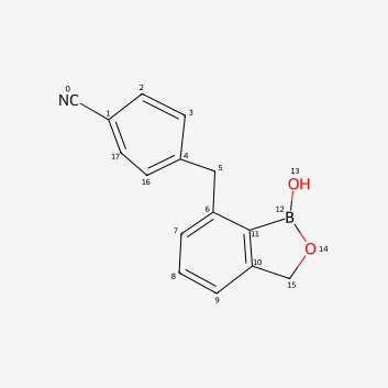 N#Cc1ccc(Cc2cccc3c2B(O)OC3)cc1